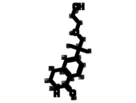 CC(C)(COCCO)c1ccc2c(c1)CCNC2=O